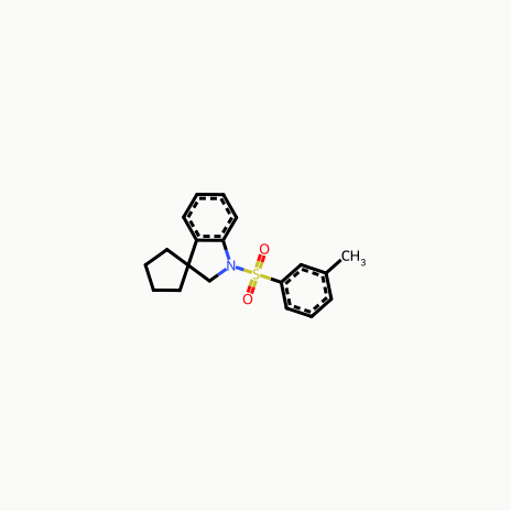 Cc1cccc(S(=O)(=O)N2CC3(CCCC3)c3ccccc32)c1